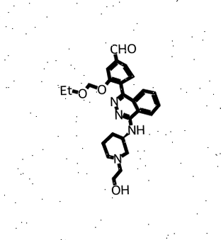 CCOCOc1cc(C=O)ccc1-c1nnc(N[C@@H]2CCCN(CCO)C2)c2ccccc12